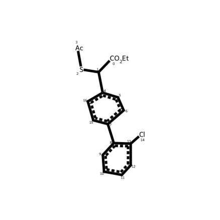 CCOC(=O)C(SC(C)=O)c1ccc(-c2ccccc2Cl)cc1